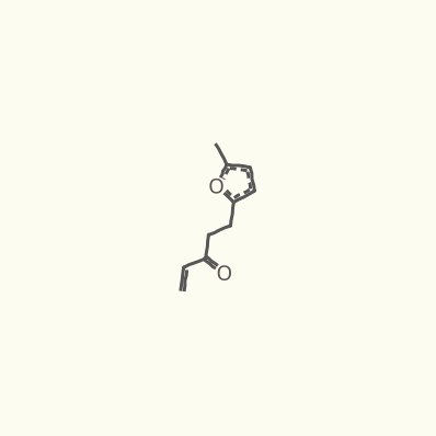 C=CC(=O)CCc1ccc(C)o1